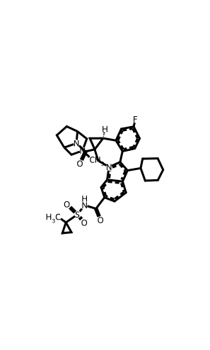 CN1CC2CCC(C1)N2C(=O)C12C[C@H]1c1cc(F)ccc1-c1c(C3CCCCC3)c3ccc(C(=O)NS(=O)(=O)C4(C)CC4)cc3n1C2